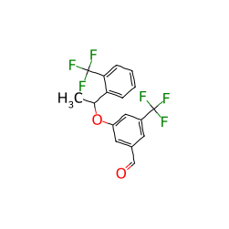 CC(Oc1cc(C=O)cc(C(F)(F)F)c1)c1ccccc1C(F)(F)F